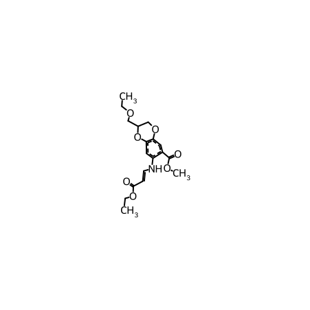 CCOCC1COc2cc(C(=O)OC)c(N/C=C/C(=O)OCC)cc2O1